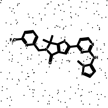 Cn1nccc1Nc1nccc(-c2cc3c(s2)C(C)(C)N(Cc2cccc(C(F)(F)F)n2)C3=O)n1